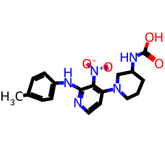 Cc1ccc(Nc2nccc(N3CCCC(NC(=O)O)C3)c2[N+](=O)[O-])cc1